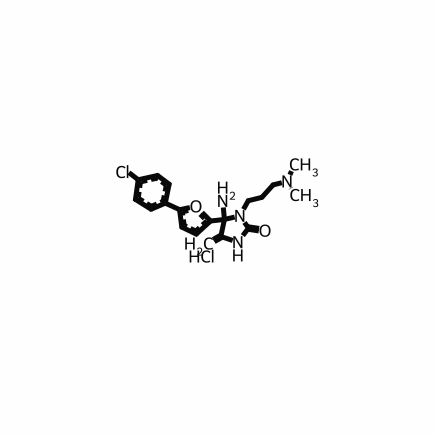 C=C1NC(=O)N(CCCN(C)C)C1(N)c1ccc(-c2ccc(Cl)cc2)o1.Cl